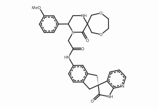 COc1cccc(C2CNC3(COCCOC3)C(=O)N2CC(=O)Nc2ccc3c(c2)C[C@@]2(C3)C(=O)Nc3ncccc32)c1